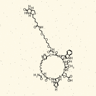 CC(O)[C@@H]1NC(=O)[C@H](Cc2c[nH]c3ccccc23)NC(=O)[C@@H](NC(=O)COCCOCCOCCNC(=O)CCCCC2SC[C@H]3NC(=O)N[C@@H]23)Cc2cn(nn2)CCCCC[C@@H](C(N)=O)NC(=O)CNC(=O)[C@H](Cc2c[nH]cn2)NC(=O)[C@H](CCC(=O)O)NC1=O